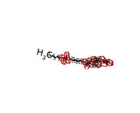 CCCCCCOC(=O)C(=O)OCCCCCCOC(=O)C(=O)O[C@H]1COC2C1OC[C@H]2OC(=O)C=O